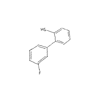 Fc1cccc(-c2ccccc2S)c1